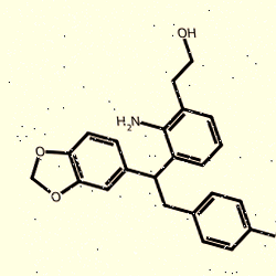 Nc1c(CCO)cccc1C(Cc1ccc(F)cc1)c1ccc2c(c1)OCO2